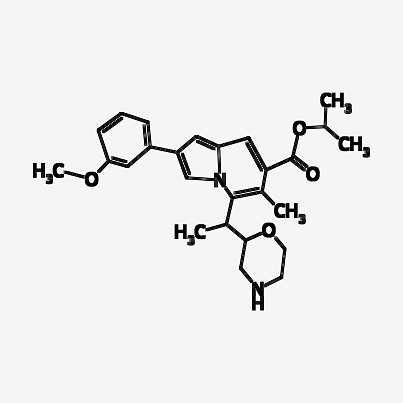 COc1cccc(-c2cc3cc(C(=O)OC(C)C)c(C)c(C(C)C4CNCCO4)n3c2)c1